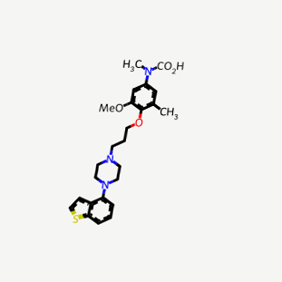 COc1cc(N(C)C(=O)O)cc(C)c1OCCCN1CCN(c2cccc3sccc23)CC1